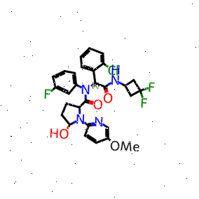 COc1ccc(N2C(O)CCC2C(=O)N(c2cccc(F)c2)[C@@H](C(=O)NC2CC(F)(F)C2)c2ccccc2Cl)nc1